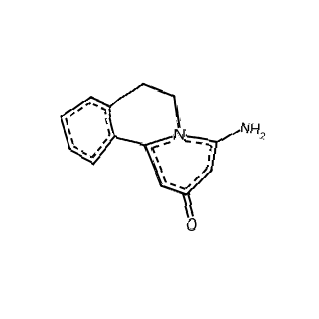 Nc1cc(=O)cc2n1CCc1ccccc1-2